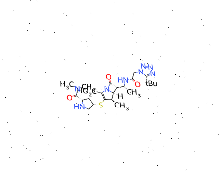 C[C@@H](NC(=O)Cn1nnnc1C(C)(C)C)[C@H]1C(=O)N2C(C(=O)O)=C(S[C@@H]3CN[C@H](C(=O)N(C)C)C3)[C@H](C)[C@H]12